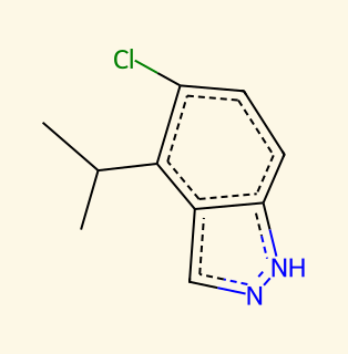 CC(C)c1c(Cl)ccc2[nH]ncc12